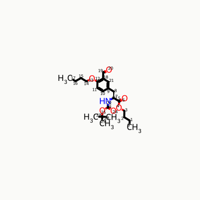 CCCCOC(=O)[C@H](Cc1ccc(OCCCC)c(C=O)c1)NC(=O)OC(C)(C)C